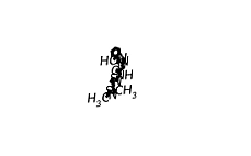 Cc1nc(C)c(-c2csc(NC(=O)Cn3cc(C4(O)CCCCC4)nn3)n2)s1